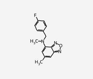 Cc1cc(N(C)Cc2ccc(F)cc2)c2nonc2c1